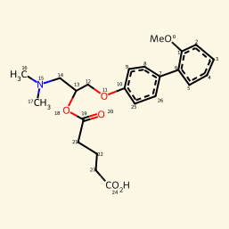 COc1ccccc1-c1ccc(OCC(CN(C)C)OC(=O)CCCC(=O)O)cc1